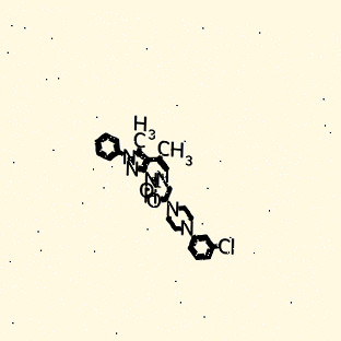 CC1=CN(CC(=O)N2CCN(c3cccc(Cl)c3)CC2)[NH+]([O-])c2nn(-c3ccccc3)c(C)c21